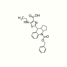 CCNc1sc(C2c3ccccc3N(C(=O)OCc3ccccc3)C3CCCC23)nc1C(=O)O